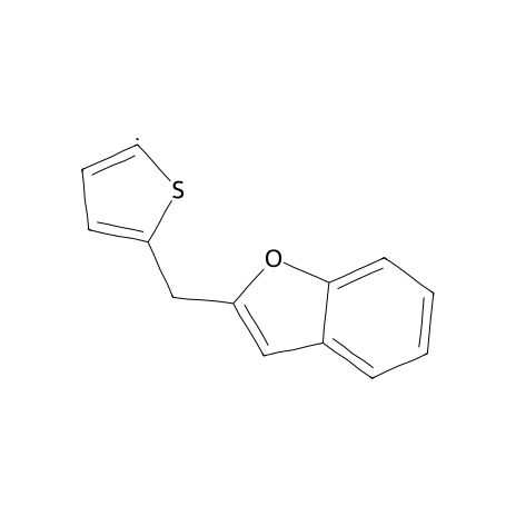 [c]1ccc(Cc2cc3ccccc3o2)s1